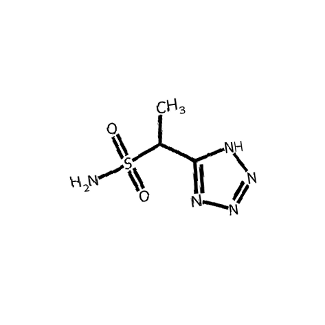 CC(c1nnn[nH]1)S(N)(=O)=O